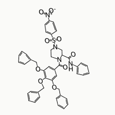 O=C(Nc1ccccc1)C1CN(S(=O)(=O)c2ccc([N+](=O)[O-])cc2)CCN1C(=O)c1cc(OCc2ccccc2)c(OCc2ccccc2)c(OCc2ccccc2)c1